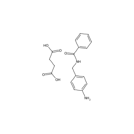 Nc1ccc(CNC(=O)c2ccccc2)cc1.O=C(O)CCC(=O)O